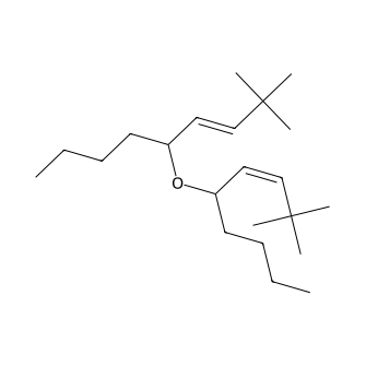 CCCCC(C=CC(C)(C)C)OC(C=CC(C)(C)C)CCCC